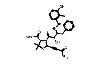 COC(=O)[C@H]1N(C(=O)[C@@H](O)[C@H](Cc2ccccc2)NC(=O)c2cccc(O)c2C)C(C#CC(N)=O)SC1(C)C